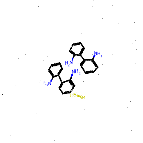 Nc1ccccc1-c1ccccc1N.Nc1ccccc1-c1ccccc1N.SS